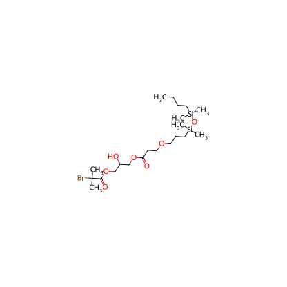 CCCC[Si](C)(C)O[Si](C)(C)CCCOCCC(=O)OCC(O)COC(=O)C(C)(C)Br